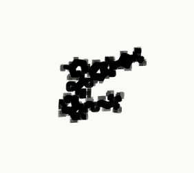 C[C@H]1CC[C@H](c2ccc3sc(C4CC(N(C)C)C4)nc3c2)N(C(=O)C(=O)Nc2cncc3cnn(COCC[Si](C)(C)C)c23)C1